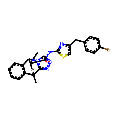 CC12CC(C)(C(=O)Nc3nc(Cc4ccc(Br)cc4)cs3)C(c3ccccc31)n1cnnc12